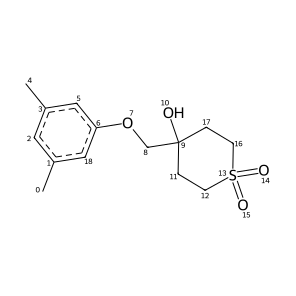 Cc1cc(C)cc(OCC2(O)CCS(=O)(=O)CC2)c1